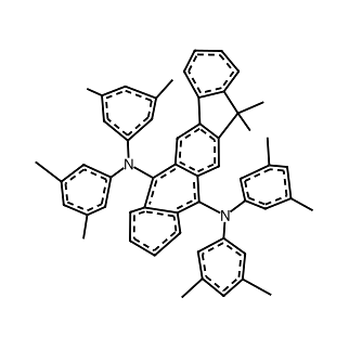 Cc1cc(C)cc(N(c2cc(C)cc(C)c2)c2c3ccccc3c(N(c3cc(C)cc(C)c3)c3cc(C)cc(C)c3)c3cc4c(cc23)-c2ccccc2C4(C)C)c1